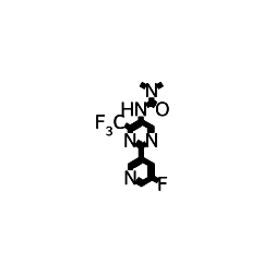 CN(C)C(=O)Nc1cnc(-c2cncc(F)c2)nc1C(F)(F)F